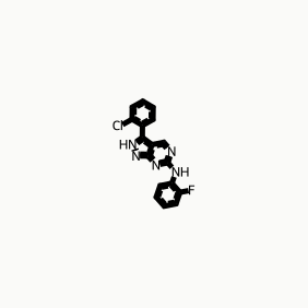 Fc1ccccc1Nc1ncc2c(-c3ccccc3Cl)[nH]nc2n1